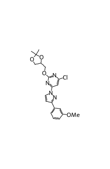 COc1cccc(-c2ccn(-c3cc(Cl)nc(OCC4COC(C)(C)O4)n3)n2)c1